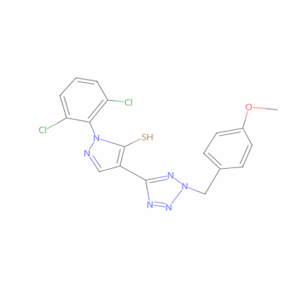 COc1ccc(Cn2nnc(-c3cnn(-c4c(Cl)cccc4Cl)c3S)n2)cc1